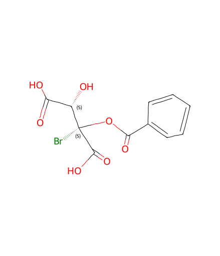 O=C(O[C@@](Br)(C(=O)O)[C@@H](O)C(=O)O)c1ccccc1